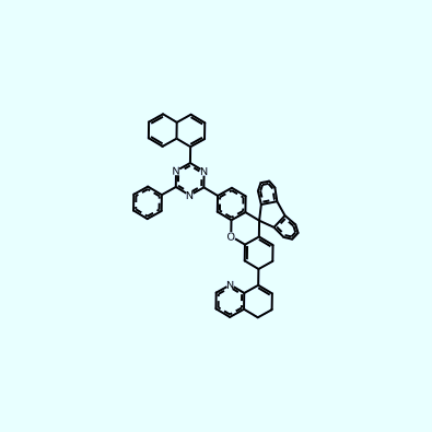 C1=CC2C=CC=C(c3nc(-c4ccccc4)nc(-c4ccc5c(c4)OC4=CC(C6=CCCc7cccnc76)CC=C4C54c5ccccc5-c5ccccc54)n3)C2C=C1